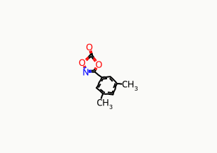 Cc1cc(C)cc(-c2noc(=O)o2)c1